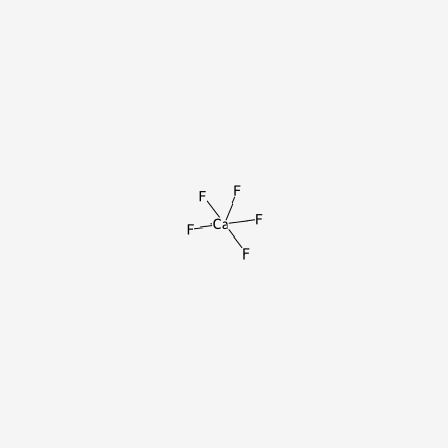 [F][Ca]([F])([F])([F])[F]